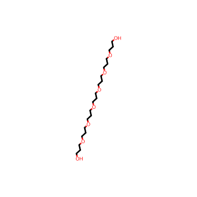 OCCCOCCCOCCCOCCCOCCCOCCCOCCCO